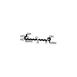 COC[C@@H]1C[C@@H](O)CN1C(=O)CCCCCNC(=O)CCCCCC1OC(CO)C(O)C(O)C1NC(C)=O